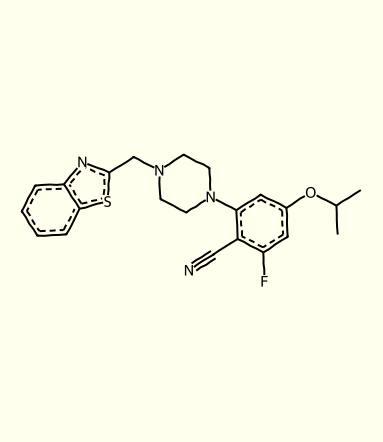 CC(C)Oc1cc(F)c(C#N)c(N2CCN(Cc3nc4ccccc4s3)CC2)c1